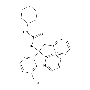 O=C(NC1CCCCC1)NC(Cc1ccccc1)(c1cccc(C(F)(F)F)c1)c1ccccn1